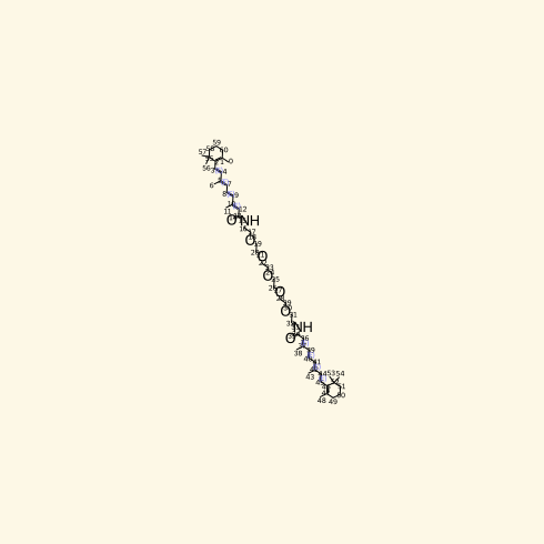 CC1=C(/C=C/C(C)=C/C=C/C(C)=C/C(=O)NCCOCCOCCOCCOCCOCCNC(=O)/C=C(C)/C=C/C=C(C)/C=C/C2=C(C)CCCC2(C)C)C(C)(C)CCC1